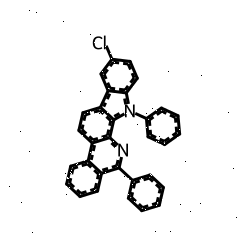 Clc1ccc2c(c1)c1ccc3c4ccccc4c(-c4ccccc4)nc3c1n2-c1ccccc1